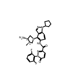 C[C@@H]1CN(c2c(NC(=O)c3ccc(=O)n(-c4c(F)cccc4F)n3)ccc3c2cnn3C2CCCC2)C[C@@H]1N